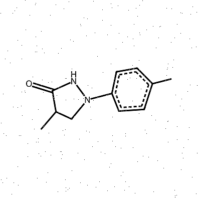 Cc1ccc(N2CC(C)C(=O)N2)cc1